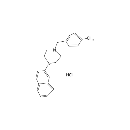 Cc1ccc(CN2CCN(c3ccc4ccccc4c3)CC2)cc1.Cl